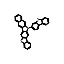 c1ccc2cc3c(cc2c1)c1cc2sc4ccccc4c2cc1n3-c1ccc2c(c1)sc1ccccc12